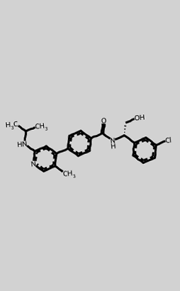 Cc1cnc(NC(C)C)cc1-c1ccc(C(=O)N[C@H](CO)c2cccc(Cl)c2)cc1